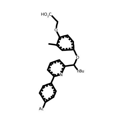 CCCCC(Oc1ccc(OCC(=O)O)c(C)c1)c1cccc(-c2ccc(C(C)=O)cc2)n1